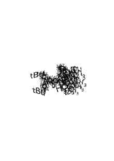 CC(C)(C)c1ccc(N2B3c4cc5c(cc4N(c4ccc6c(c4)C(C)(C)CCC6(C)C)c4c3c(cc3c4oc4ccccc43)-c3cc4c(cc32)sc2cc(N(c3ccc(C(C)(C)C)cc3)c3ccc(C(C)(C)C)cc3)ccc24)C(C)(C)CCC5(C)C)cc1